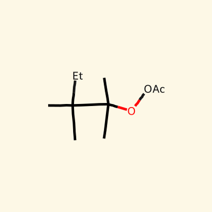 CCC(C)(C)C(C)(C)OOC(C)=O